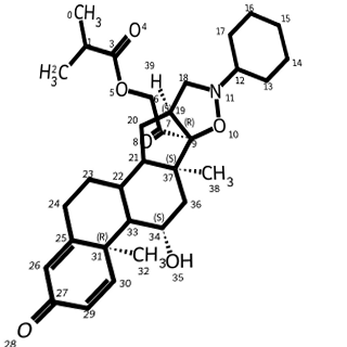 CC(C)C(=O)OCC(=O)[C@@]12ON(C3CCCCC3)C[C@@H]1CC1C3CCC4=CC(=O)C=C[C@]4(C)C3[C@@H](O)C[C@@]12C